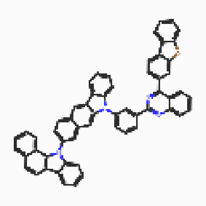 c1cc(-c2nc(-c3ccc4c(c3)sc3ccccc34)c3ccccc3n2)cc(-n2c3ccccc3c3cc4ccc(-n5c6ccccc6c6ccc7ccccc7c65)cc4cc32)c1